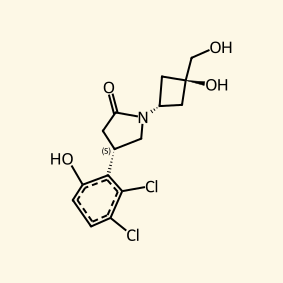 O=C1C[C@@H](c2c(O)ccc(Cl)c2Cl)CN1[C@H]1C[C@@](O)(CO)C1